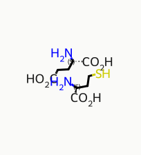 N[C@@H](CCC(=O)O)C(=O)O.N[C@@H](CCS)C(=O)O